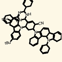 CC(C)(C)c1ccc2c(c1)c1c(n2C2CC(n3c4c(c5c3CCC=C5)C3C(C=C4)C4=C(CCC=C4)N3C3C=CC=CC3)C(C#N)C=C2C2NC(C3CC=CCC3)=NC(C3C=CC=CC3)N2)C=CC(C(C)(C)C)C1